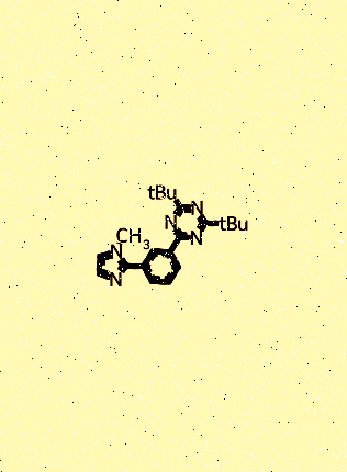 Cn1ccnc1-c1cccc(-c2nc(C(C)(C)C)nc(C(C)(C)C)n2)c1